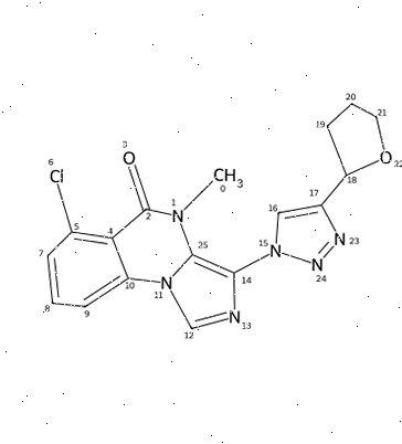 Cn1c(=O)c2c(Cl)cccc2n2cnc(-n3cc(C4CCCO4)nn3)c12